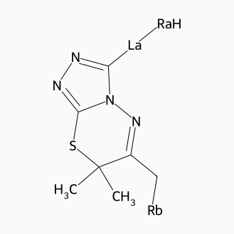 CC1(C)Sc2nn[c]([La][RaH])n2N=C1[CH2][Rb]